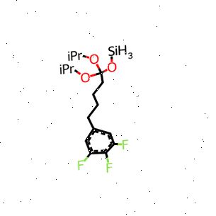 CC(C)OC(CCCCc1cc(F)c(F)c(F)c1)(O[SiH3])OC(C)C